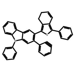 c1cccc(-c2cc3c(cc2-c2sc(-c4ccccc4)c4c2CCC=C4)c2ccccc2n3-c2ccccc2)c#1